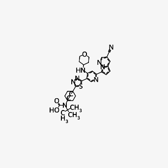 CC(C)(C)N(C(=O)O)C12CCC(c3nnc(-c4cnc(-c5ccc6cc(C#N)cnn56)cc4NC4CCOCC4)s3)(CC1)CC2